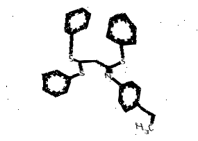 CCc1ccc(N=C(CC(Sc2ccccc2)Sc2ccccc2)Sc2ccccc2)cc1